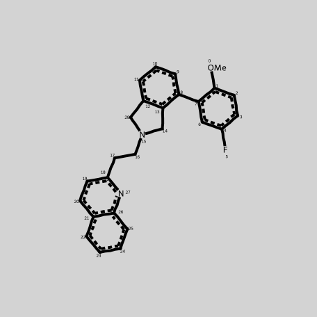 COc1ccc(F)cc1-c1cccc2c1CN(CCc1ccc3ccccc3n1)C2